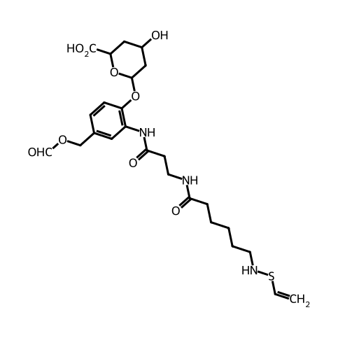 C=CSNCCCCCC(=O)NCCC(=O)Nc1cc(COC=O)ccc1OC1CC(O)CC(C(=O)O)O1